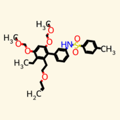 C=CCOCCc1c(CC)c(OCOC)cc(OCOC)c1-c1cccc(NS(=O)(=O)c2ccc(C)cc2)c1